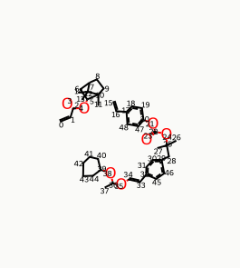 C=CC(=O)OC1CC2CCC1(C)C2(C)C.C=Cc1ccc(OC(=O)OC(C)(C)Cc2ccc(C=COC(C)OC3CCCCC3)cc2)cc1